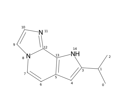 CC(C)c1cc2ccn3ccnc3c2[nH]1